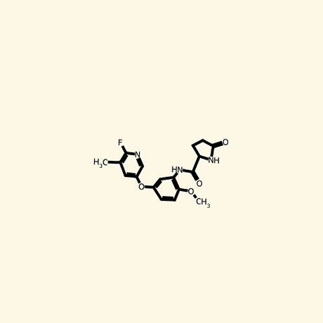 COc1ccc(Oc2cnc(F)c(C)c2)cc1NC(=O)C1CCC(=O)N1